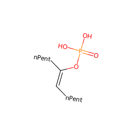 CCCCCC=C(CCCCC)OP(=O)(O)O